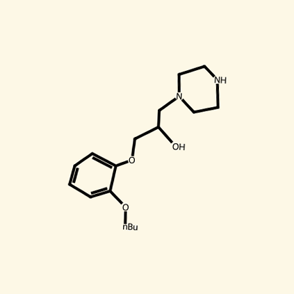 CCCCOc1ccccc1OCC(O)CN1CCNCC1